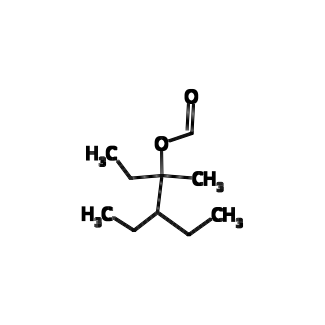 CCC(CC)C(C)(CC)OC=O